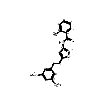 COc1cc(CCc2cc(NC(=O)c3ccccc3S)n[nH]2)cc(OC)c1